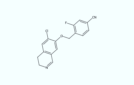 N#Cc1ccc(COc2cc3c(cc2Cl)CCN=C3)c(F)c1